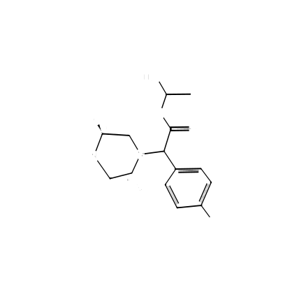 CC(C)OC(=O)C(c1ccc(F)cc1)N1C[C@H](C)NC[C@H]1C